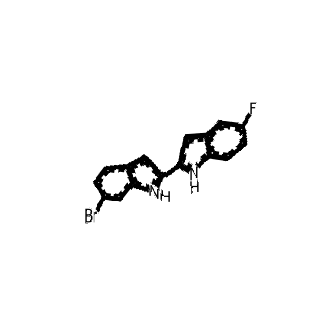 Fc1ccc2[nH]c(-c3cc4ccc(Br)cc4[nH]3)cc2c1